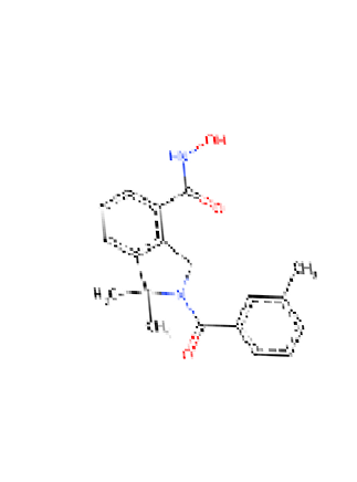 Cc1cccc(C(=O)N2Cc3c(C(=O)NO)cccc3C2(C)C)c1